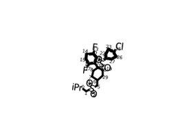 CC(C)CS(=O)(=O)CC1CCC(c2cc(F)ccc2F)(S(=O)(=O)c2ccc(Cl)cc2)CC1